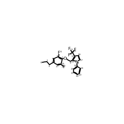 CCCc1cc(F)c(OCc2c(C(F)(F)F)ccn2-c2ccccc2)c(F)c1